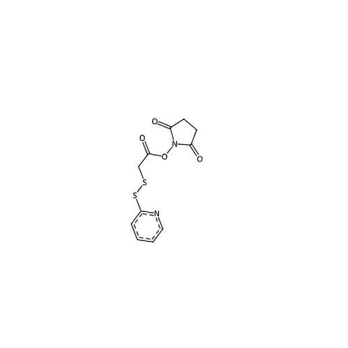 O=C(CSSc1ccccn1)ON1C(=O)CCC1=O